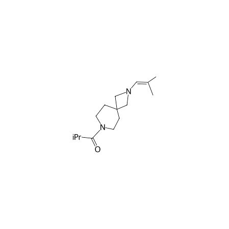 CC(C)=CN1CC2(CCN(C(=O)C(C)C)CC2)C1